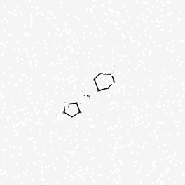 CC[C@@H]1CC[C@@H](CO[C@H]2CC[C@H](C=O)CC2)N1